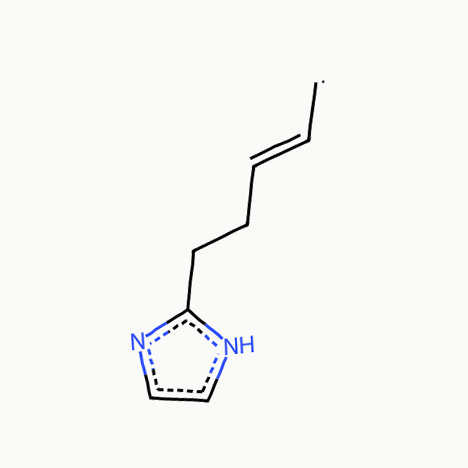 [CH2]C=CCCc1ncc[nH]1